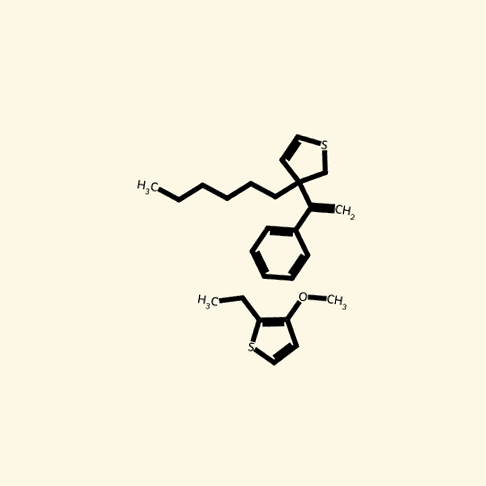 C=C(c1ccccc1)C1(CCCCCC)C=CSC1.CCc1sccc1OC